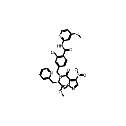 COC(=O)[C@@H](Cc1ccccn1)N(Cc1ccc(C(=O)Nc2cc(OC)ccn2)c(Cl)c1)C(=O)c1c([N+](=O)[O-])cnn1C